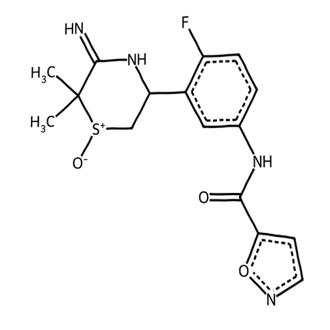 CC1(C)C(=N)NC(c2cc(NC(=O)c3ccno3)ccc2F)C[S+]1[O-]